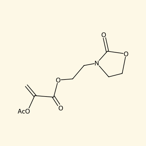 C=C(OC(C)=O)C(=O)OCCN1CCOC1=O